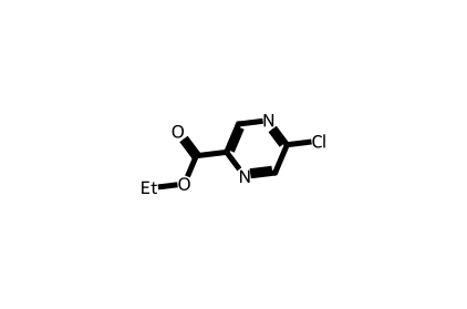 CCOC(=O)c1cnc(Cl)cn1